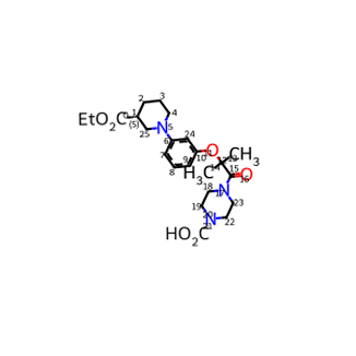 CCOC(=O)[C@H]1CCCN(c2cccc(OC(C)(C)C(=O)N3CCN(C(=O)O)CC3)c2)C1